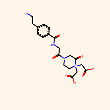 NCCc1ccc(C(=O)NCC(=O)N2CC[N+](CC(=O)O)(CC(=O)O)C(=O)C2)cc1